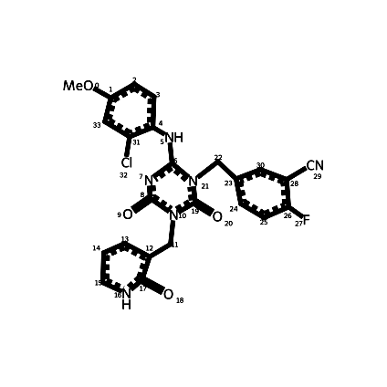 COc1ccc(Nc2nc(=O)n(Cc3ccc[nH]c3=O)c(=O)n2Cc2ccc(F)c(C#N)c2)c(Cl)c1